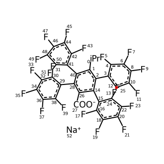 CC(C)c1c(-c2c(F)c(F)c(F)c(F)c2F)c(-c2c(F)c(F)c(F)c(F)c2F)c(C(=O)[O-])c(-c2c(F)c(F)c(F)c(F)c2F)c1-c1c(F)c(F)c(F)c(F)c1F.[Na+]